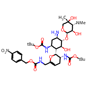 CN[C@@H]1[C@@H](O)[C@@H](O[C@H]2[C@H](N)C[C@H](NC(=O)OC(C)(C)C)C([C@H]3OC(CNC(=O)OCc4ccc([N+](=O)[O-])cc4)=CC[C@H]3NC(=O)OC(C)(C)C)[C@@H]2O)OC[C@]1(C)O